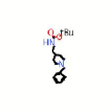 CC(C)(C)OC(=O)NCCC1CCN(Cc2ccccc2)CC1